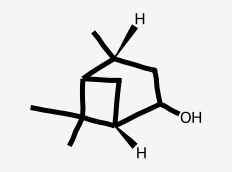 C[C@@H]1CC(O)[C@H]2CC1C2(C)C